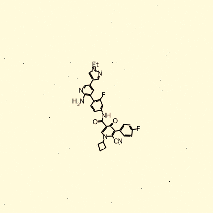 CCn1cc(-c2cnc(N)c(-c3ccc(NC(=O)c4cn(C5CCC5)c(C#N)c(-c5ccc(F)cc5)c4=O)cc3F)c2)cn1